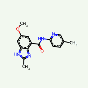 COc1cc(C(=O)Nc2ccc(C)cn2)c2nc(C)[nH]c2c1